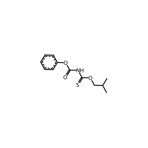 CC(C)COC(=S)NC(=O)Oc1ccccc1